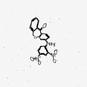 O=C1c2ccccc2COc2cc(Nc3ccc([N+](=O)[O-])cc3[N+](=O)[O-])ccc21